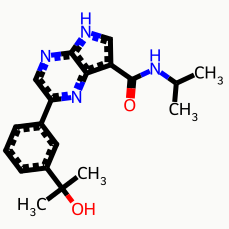 CC(C)NC(=O)c1c[nH]c2ncc(-c3cccc(C(C)(C)O)c3)nc12